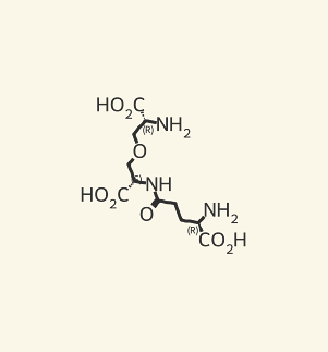 N[C@H](CCC(=O)N[C@@H](COC[C@@H](N)C(=O)O)C(=O)O)C(=O)O